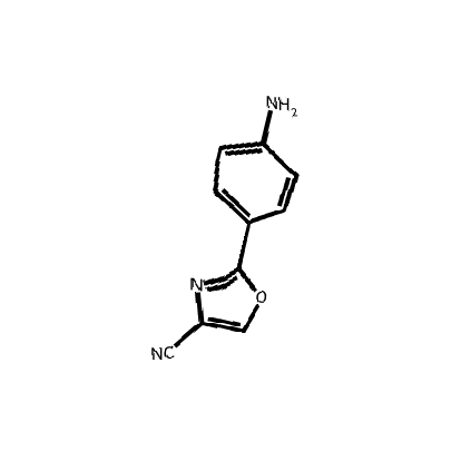 N#Cc1coc(-c2ccc(N)cc2)n1